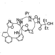 CCC(O)(CC)C(=O)NC1Cc2ccc3c(c2)C24c5cccc(c5N[C@H]2O3)-c2cccc3c2C(=CC3)c2cnc(o2)-c2nc(oc24)[C@H](C(C)C)NC1=O